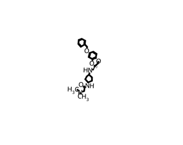 CN(C)CC(=O)NC1CCC(NC[C@@H]2COc3ccc(OCc4ccccc4)cc3O2)CC1